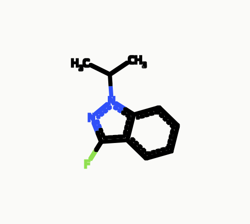 CC(C)n1nc(F)c2ccccc21